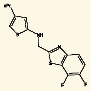 CCCc1csc(NCc2nc3ccc(F)c(F)c3s2)c1